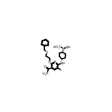 CC(C)(C)N(C(=O)O)[C@H]1CC[C@H](Nc2nc(OCCOCc3ccccc3)c(C(N)=O)cc2F)CC1